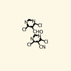 N#Cc1c(Cl)ncnc1Cl.O=Cc1c(Cl)ncnc1Cl